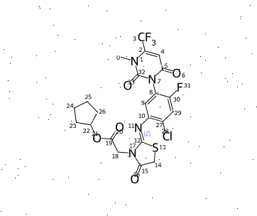 Cn1c(C(F)(F)F)cc(=O)n(-c2cc(/N=C3\SCC(=O)N3CC(=O)OC3CCCC3)c(Cl)cc2F)c1=O